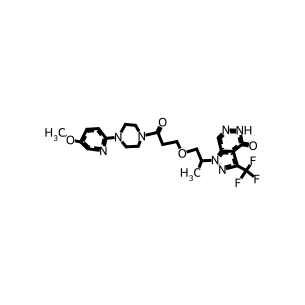 COc1ccc(N2CCN(C(=O)CCOCC(C)n3nc(C(F)(F)F)c4c(=O)[nH]ncc43)CC2)nc1